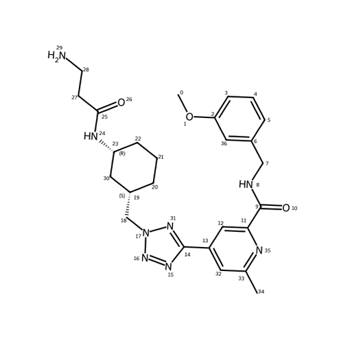 COc1cccc(CNC(=O)c2cc(-c3nnn(C[C@H]4CCC[C@@H](NC(=O)CCN)C4)n3)cc(C)n2)c1